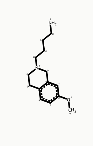 COc1ccc2c(c1)CN(CCCCN)CC2